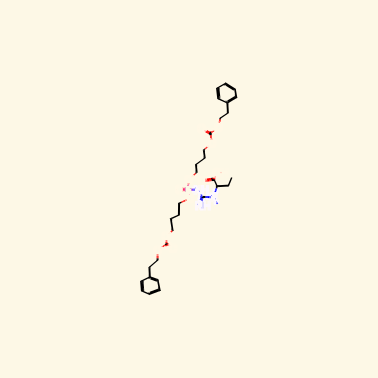 CCC(C(=O)O)N(C)C(=N)NP(=O)(OCCCCOC(=O)OCCc1ccccc1)OCCCCOC(=O)OCCc1ccccc1